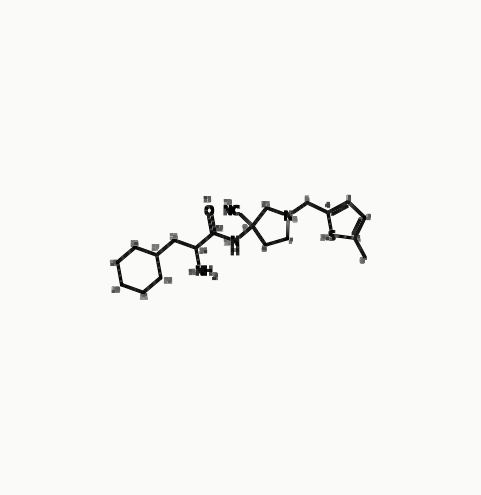 Cc1ccc(CN2CCC(C#N)(NC(=O)C(N)CC3CCCCC3)C2)s1